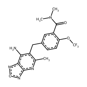 Cc1nc2nonc2c(N)c1Cc1ccc(OC(F)(F)F)c(C(=O)N(C)C)c1